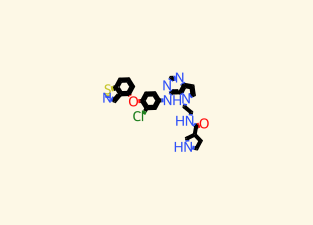 O=C(NCCn1ccc2ncnc(Nc3ccc(Oc4cccc5sncc45)c(Cl)c3)c21)C1CCNC1